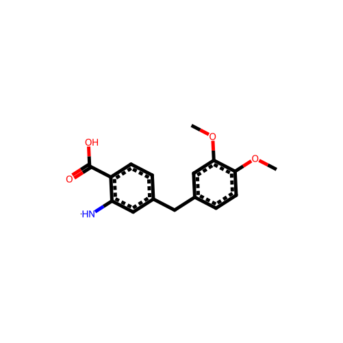 COc1ccc(Cc2ccc(C(=O)O)c([NH])c2)cc1OC